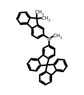 CN(c1ccc2c(c1)-c1ccccc1C21c2ccccc2-c2ccccc21)c1ccc2c(c1)C(C)(C)c1ccccc1-2